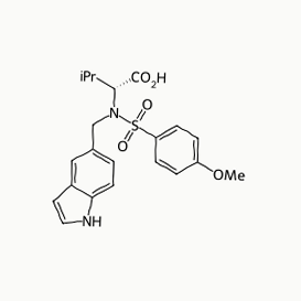 COc1ccc(S(=O)(=O)N(Cc2ccc3[nH]ccc3c2)[C@@H](C(=O)O)C(C)C)cc1